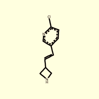 Clc1ccc(C=CC2CNC2)cn1